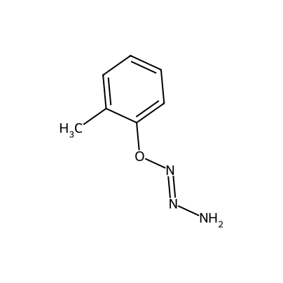 Cc1ccccc1ON=NN